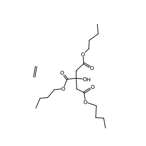 C=C.CCCCOC(=O)CC(O)(CC(=O)OCCCC)C(=O)OCCCC